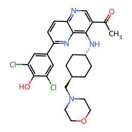 CC(=O)c1cnc2ccc(-c3cc(Cl)c(O)c(Cl)c3)nc2c1N[C@H]1CC[C@H](CN2CCOCC2)CC1